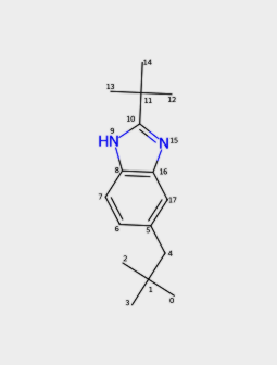 CC(C)(C)Cc1ccc2[nH]c(C(C)(C)C)nc2c1